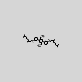 CC(C)CCCC(C)CCOc1cccc(-c2cc(CO)c(-c3cccc(OCCC(C)CCCC(C)C)c3)cc2CO)c1